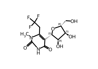 Cn1c(CC(F)(F)F)c([C@@H]2O[C@H](CO)[C@@H](O)[C@H]2O)c(=O)[nH]c1=O